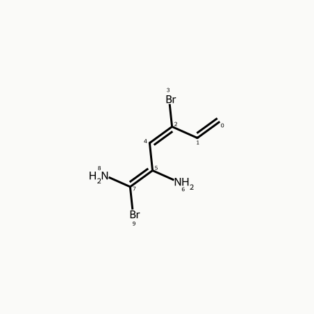 C=C/C(Br)=C\C(N)=C(/N)Br